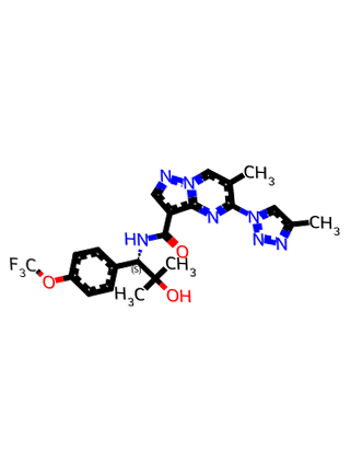 Cc1cn(-c2nc3c(C(=O)N[C@@H](c4ccc(OC(F)(F)F)cc4)C(C)(C)O)cnn3cc2C)nn1